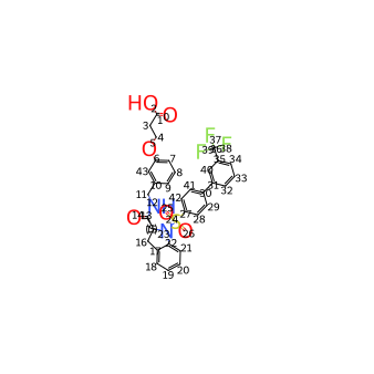 O=C(O)CCOc1cccc(CNC(=O)[C@@H]2Cc3ccccc3N2S(=O)(=O)c2ccc(-c3cccc(C(F)(F)F)c3)cc2)c1